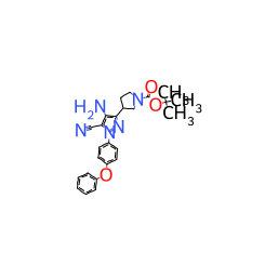 CC(C)(C)OC(=O)N1CCC(c2nn(-c3ccc(Oc4ccccc4)cc3)c(C#N)c2N)C1